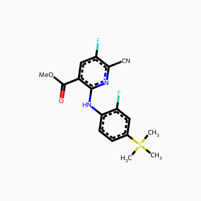 COC(=O)c1cc(F)c(C#N)nc1Nc1ccc(S(C)(C)C)cc1F